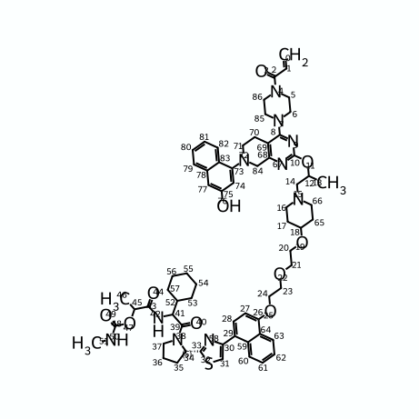 C=CC(=O)N1CCN(c2nc(OC(C)CN3CCC(OCCOCCOc4ccc(-c5csc([C@@H]6CCCN6C(=O)C(NC(=O)C(C)OC(=O)NC)C6CCCCC6)n5)c5ccccc45)CC3)nc3c2CCN(c2cc(O)cc4ccccc24)C3)CC1